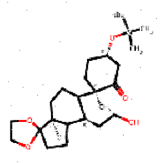 CC(C)(C)[Si](C)(C)O[C@H]1CC[C@](C)(C2CC[C@@]3(C)C(CCC34OCCO4)[C@@H]2CCO)C(=O)C1